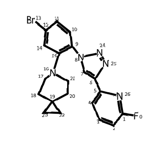 Fc1cccc(-c2cn(-c3ccc(Br)cc3N3CCC4(CC3)CC4)nn2)n1